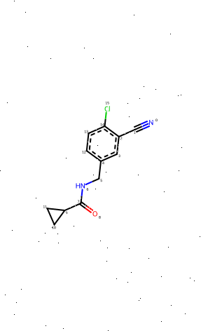 N#Cc1cc(CNC(=O)C2CC2)ccc1Cl